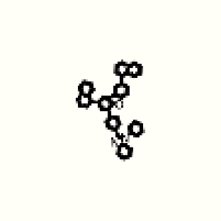 c1ccc(-n2c(-c3ccc(-c4cc(-c5cccc6ccccc56)cc5c4oc4ccc(-c6cccc7ccccc67)cc45)cc3)nc3ccccc32)cc1